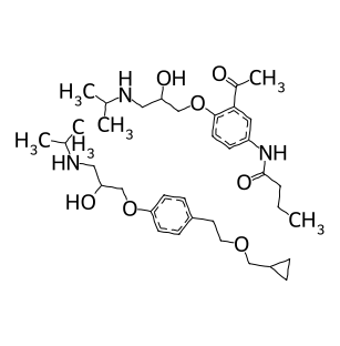 CC(C)NCC(O)COc1ccc(CCOCC2CC2)cc1.CCCC(=O)Nc1ccc(OCC(O)CNC(C)C)c(C(C)=O)c1